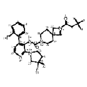 CC(C)(C)CC(=O)N1CC2(CCN(C(=O)Nc3c(-c4ccccc4F)ccnc3N3CCC(C)(F)C3)CC2)C1